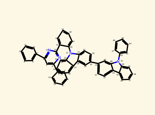 c1ccc(-c2cc(-c3ccccc3)nc(-c3ccccc3-n3c4ccccc4c4cc(-c5ccc6c7ccccc7n(-c7ccccc7)c6c5)ccc43)n2)cc1